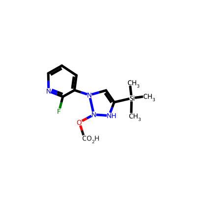 C[Si](C)(C)C1=CN(c2cccnc2F)N(OC(=O)O)N1